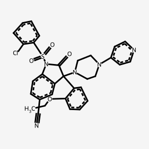 CCOc1ccccc1C1(N2CCN(c3ccncc3)CC2)C(=O)N(S(=O)(=O)c2ccccc2Cl)c2ccc(C#N)cc21